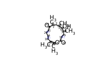 C[C@@H]1C[C@H](C)[C@H](O)[C@@H](C)/C=C/C(=O)O[C@H](C)[C@@H](C)/C=C/C=C/C1=O